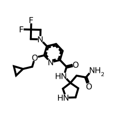 NC(=O)CC1(NC(=O)c2ccc(N3CC(F)(F)C3)c(OCC3CC3)n2)CCNC1